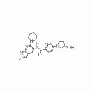 Cn1cc2cc(NC(=O)c3ccc(N4CCC(O)C4)cn3)c(N3CCCCC3)nc2n1